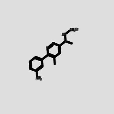 CCOC(=O)NN(C)c1cc(C)c(-c2cccc([N+](=O)[O-])c2)nn1